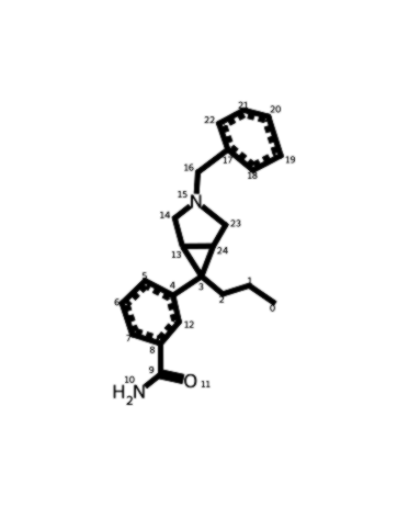 CCCC1(c2cccc(C(N)=O)c2)C2CN(Cc3ccccc3)CC21